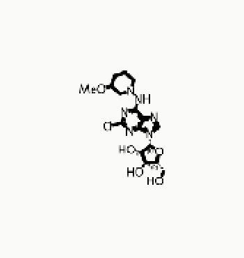 COC1CCCN(Nc2nc(Cl)nc3c2ncn3[C@@H]2O[C@H](CO)[C@@H](O)[C@H]2O)C1